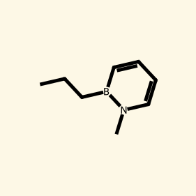 CCCB1C=CC=CN1C